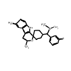 Cc1ccc2[nH]c3c(c2c1)CC(C)OC31CCC(C(c2cccc(F)c2)N(C)C)CC1